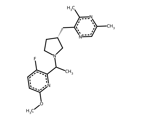 COc1ccc(F)c(C(C)N2CC[C@H](Cc3ncc(C)nc3C)C2)n1